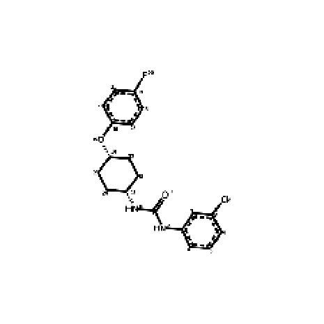 O=C(Nc1cccc(Cl)c1)N[C@H]1CC[C@@H](Oc2ccc(F)cc2)CC1